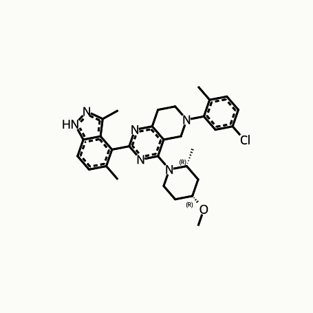 CO[C@@H]1CCN(c2nc(-c3c(C)ccc4[nH]nc(C)c34)nc3c2CN(c2cc(Cl)ccc2C)CC3)[C@H](C)C1